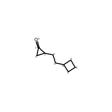 O=C1CC1CCC1CCC1